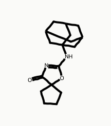 O=C1N=C(NC23CC4CC(CC(C4)C2)C3)OC12CCCC2